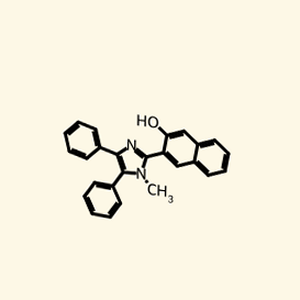 Cn1c(-c2cc3ccccc3cc2O)nc(-c2ccccc2)c1-c1ccccc1